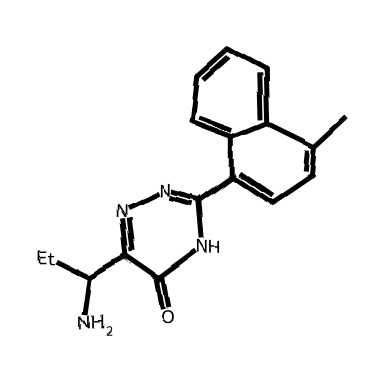 CCC(N)c1nnc(-c2ccc(C)c3ccccc23)[nH]c1=O